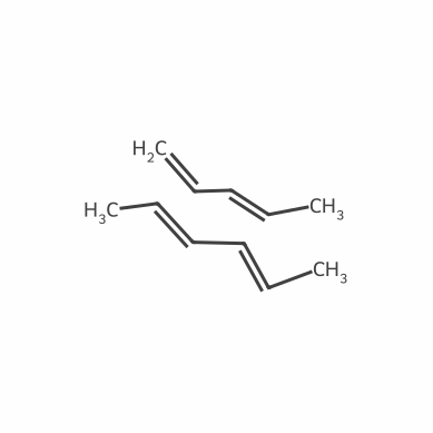 C/C=C/C=C/C.C=C/C=C/C